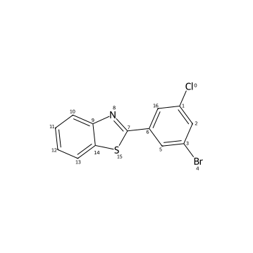 Clc1cc(Br)cc(-c2nc3ccccc3s2)c1